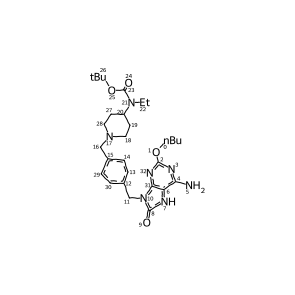 CCCCOc1nc(N)c2[nH]c(=O)n(Cc3ccc(CN4CCC(N(CC)C(=O)OC(C)(C)C)CC4)cc3)c2n1